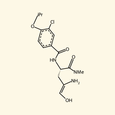 CNC(=O)[C@H](C/C(N)=C/O)NC(=O)c1ccc(OC(C)C)c(Cl)c1